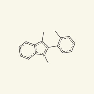 Cc1ccccc1-c1c(C)c2ccccc2n1C